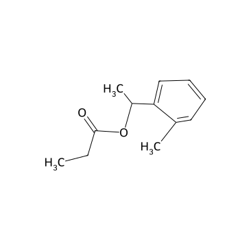 CCC(=O)OC(C)c1ccccc1C